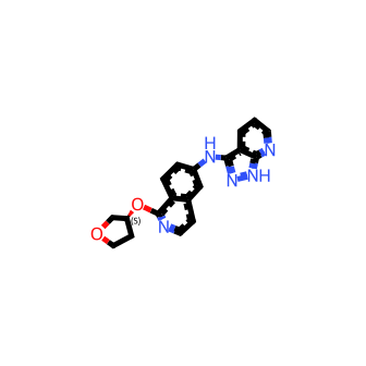 c1cnc2[nH]nc(Nc3ccc4c(O[C@H]5CCOC5)nccc4c3)c2c1